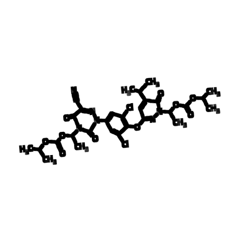 CC(C)OC(=O)OC(C)n1nc(Oc2c(Cl)cc(-n3nc(C#N)c(=O)n(C(C)OC(=O)OC(C)C)c3=O)cc2Cl)cc(C(C)C)c1=O